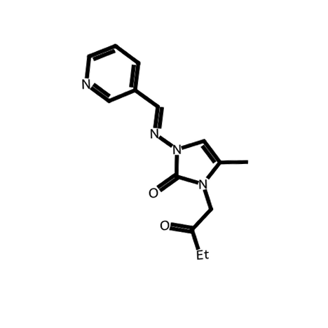 CCC(=O)Cn1c(C)cn(N=Cc2cccnc2)c1=O